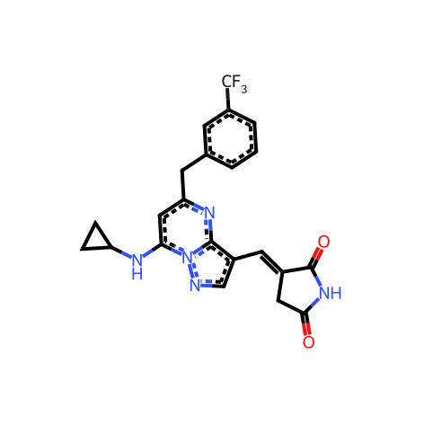 O=C1C/C(=C\c2cnn3c(NC4CC4)cc(Cc4cccc(C(F)(F)F)c4)nc23)C(=O)N1